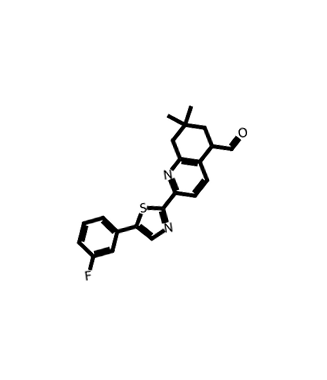 CC1(C)Cc2nc(-c3ncc(-c4cccc(F)c4)s3)ccc2C(C=O)C1